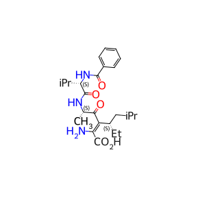 CC[C@@H](CC(C)C)C(C(=O)[C@H](C)NC(=O)[C@@H](NC(=O)c1ccccc1)C(C)C)=C(N)C(=O)O